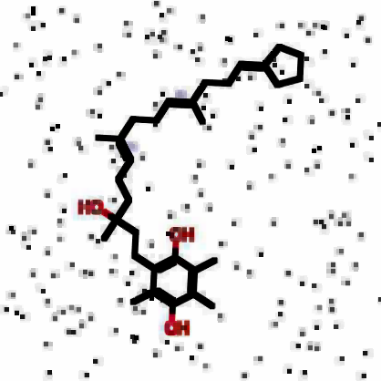 C/C(=C\CC/C(C)=C/CCC(C)(O)CCc1c(C)c(O)c(C)c(C)c1O)CCC=C1CCCC1